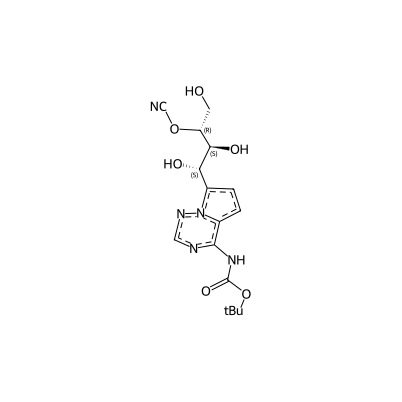 CC(C)(C)OC(=O)Nc1ncnn2c([C@H](O)[C@H](O)[C@@H](CO)OC#N)ccc12